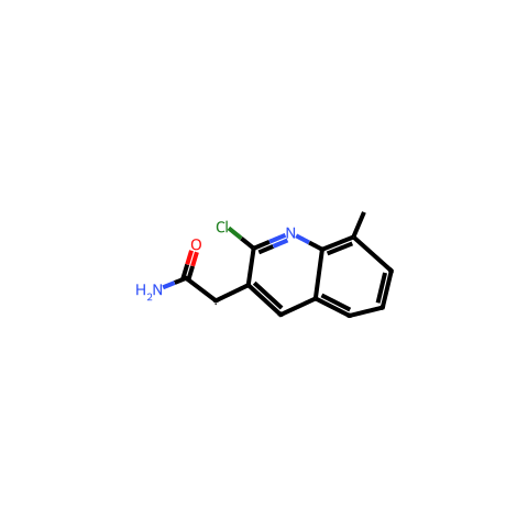 Cc1cccc2cc([CH]C(N)=O)c(Cl)nc12